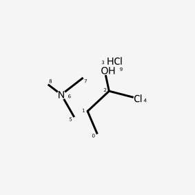 CCC(O)Cl.CN(C)C.Cl